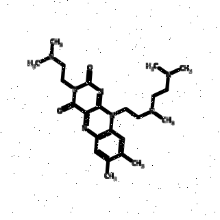 Cc1cc2nc3c(=O)n(CCN(C)C)c(=O)nc-3n(CCN(C)CCN(C)C)c2cc1C